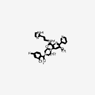 CCOc1cc(N2CCN(C(=O)c3ccc(F)cc3C(F)(F)F)C[C@H]2CC)c(C(=O)NCCc2ncc[nH]2)nc1-c1cccnc1